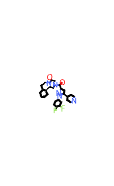 O=C(c1cc(-c2ccncc2)n(-c2ccc(F)c(F)c2)n1)N1CC(=O)N2CCc3ccccc3C2C1